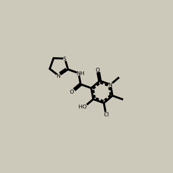 Cc1c(Cl)c(O)c(C(=O)NC2=NCCS2)c(=O)n1C